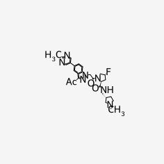 CC(=O)c1nn(CC(=O)N2C[C@H](F)C[C@H]2C(=O)NC[C@@H]2CCN(C)C2)c2ccc(-c3cnc(C)nc3)cc12